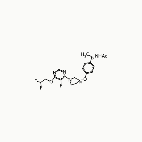 CC(=O)N[C@@H](C)c1ccc(O[C@@H]2CCN(c3ncnc(OCC(F)F)c3F)C2)cc1